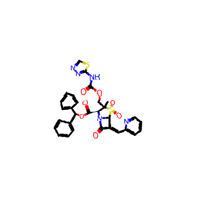 CC1(COC(=O)Nc2nncs2)[C@H](C(=O)OC(c2ccccc2)c2ccccc2)N2C(=O)/C(=C/c3ccccn3)C2S1(=O)=O